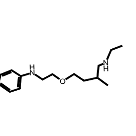 CCNCC(C)CCOCCNc1ccccc1